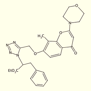 CCOC(=O)C(Cc1ccccc1)n1nnnc1COc1ccc2c(=O)cc(N3CCOCC3)oc2c1C